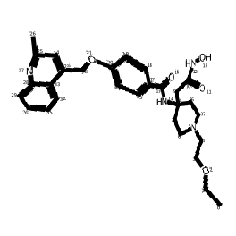 CCOCCN1CCC(CC(=O)NO)(NC(=O)c2ccc(OCc3cc(C)nc4ccccc34)cc2)CC1